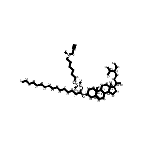 C#CCN(C)CCCCCCO[Si](C)(C)OC(CCCCCCCCCCCCCCC)OC1CCC2(C)C(=CCC3C2CCC2(C)C(C(C)CCC(CC)C(C)C)CCC32)C1